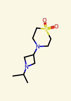 CC(C)N1CC(N2CCS(=O)(=O)CC2)C1